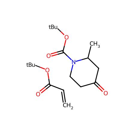 C=CC(=O)OC(C)(C)C.CC1CC(=O)CCN1C(=O)OC(C)(C)C